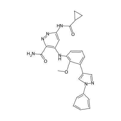 COc1c(Nc2cc(NC(=O)C3CC3)nnc2C(N)=O)cccc1-c1cnn(-c2ccccc2)c1